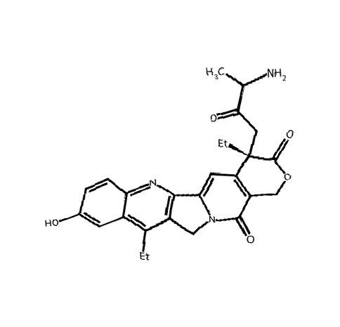 CCc1c2c(nc3ccc(O)cc13)-c1cc3c(c(=O)n1C2)COC(=O)[C@@]3(CC)CC(=O)C(C)N